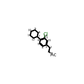 CC(=O)CCc1ccc(C2CCCCC2)c(Cl)c1